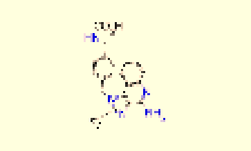 Nc1nc2ccccc2c2c1nc(C1CC1)n2Cc1ccc(CNC(=O)O)cc1